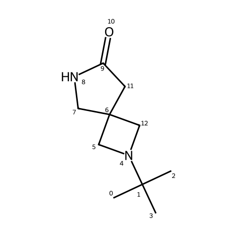 CC(C)(C)N1CC2(CNC(=O)C2)C1